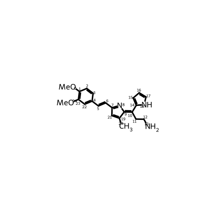 COc1ccc(/C=C/C2=NC(=C(/CCN)c3ccc[nH]3)/C(C)=C2)cc1OC